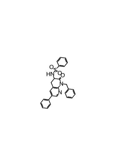 O=C1C(NS(=O)(=O)c2ccccc2)Cc2cc(-c3ccccc3)cnc2N1Cc1ccccc1